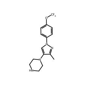 Cc1nn(-c2ccc(OC(F)(F)F)cc2)cc1N1CCNCC1